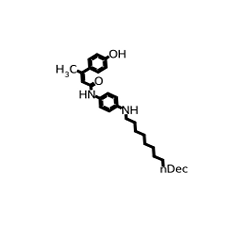 CCCCCCCCCCCCCCCCCCNc1ccc(NC(=O)C=C(C)c2ccc(O)cc2)cc1